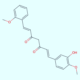 COc1ccc(C=CC(=O)CC(=O)C=Cc2ccccc2OC)cc1O